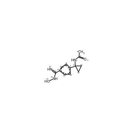 CC(=O)NC1(c2ccc(C(=N)NO)cc2)CC1